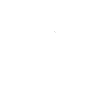 c1ccc(-c2ccc(N(c3ccc4ccc5c6ccccc6ccc5c4c3)c3cccc4oc5ccccc5c34)cc2)cc1